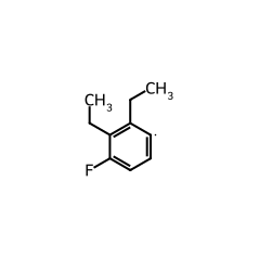 CCc1[c]ccc(F)c1CC